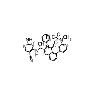 C[C@H](Nc1nc(N)ncc1C#N)c1nc2cccc(-c3ccnc(N(C)S(C)(=O)=O)c3)c2c(=O)n1-c1ccccc1